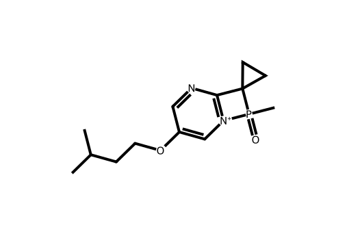 CC(C)CCOc1cnc2[n+](c1)P(C)(=O)C21CC1